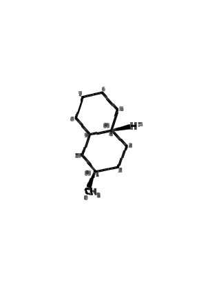 C[C@@H]1CC[C@H]2CCCCC2C1